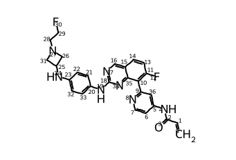 C=CC(=O)Nc1ccnc(-c2c(F)ccc3cnc(Nc4ccc(NC5CN(CCF)C5)cc4)nc23)c1